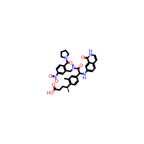 Cc1cc(C(Nc2ccc3cc[nH]c(=O)c3c2)C(=O)N(C)Cc2cc([N+](=O)[O-])ccc2C(=O)N2CCCC2)ccc1[C@@H](C)CCC(=O)O